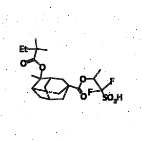 CCC(C)(C)C(=O)OC1(C)C2CC3CC1CC(C(=O)OC(C)C(F)(F)S(=O)(=O)O)(C3)C2